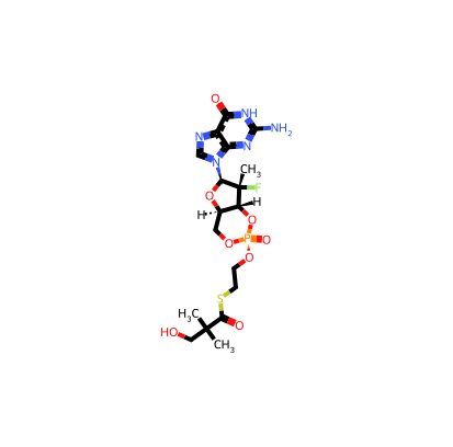 CC(C)(CO)C(=O)SCCO[P@]1(=O)OC[C@H]2O[C@@H](n3cnc4c(=O)[nH]c(N)nc43)[C@](C)(F)[C@@H]2O1